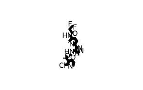 C[C@@H](OC(=O)Nc1c(-c2ccc(NC(=O)CC(F)F)cn2)nnn1C)c1cccnc1Cl